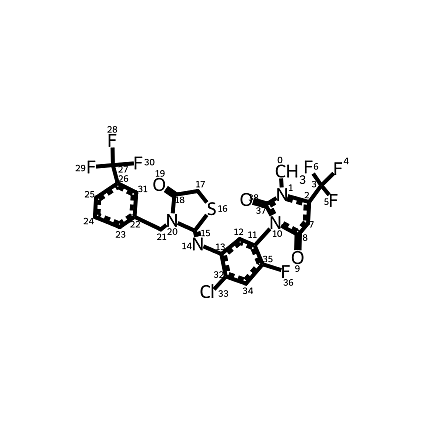 Cn1c(C(F)(F)F)cc(=O)n(-c2cc(N=C3SCC(=O)N3Cc3cccc(C(F)(F)F)c3)c(Cl)cc2F)c1=O